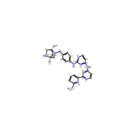 Cc1cccc(-c2nccc(Nc3ccnc(Nc4ccc(CN5C[C@@H]6C[C@H]5CN6)cc4)n3)n2)n1